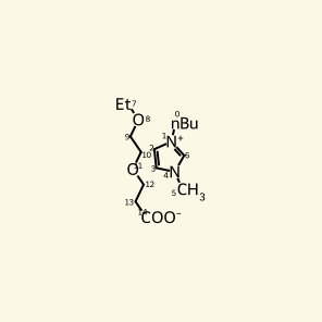 CCCC[n+]1ccn(C)c1.CCOCCOCCC(=O)[O-]